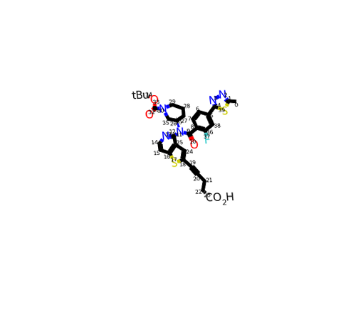 Cc1nnc(-c2ccc(C(=O)N(c3nccc4sc(C#CCCC(=O)O)cc34)[C@@H]3CCCN(C(=O)OC(C)(C)C)C3)c(F)c2)s1